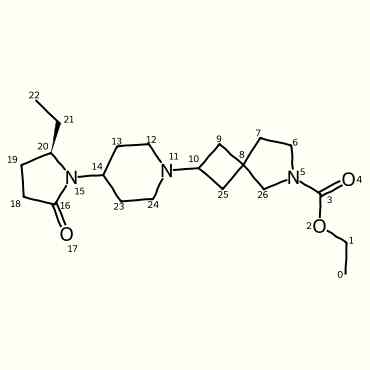 CCOC(=O)N1CCC2(CC(N3CCC(N4C(=O)CC[C@H]4CC)CC3)C2)C1